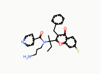 CCC(C)(c1oc2cc(F)ccc2c(=O)c1Cc1ccccc1)N(CCCN)C(=O)c1ccncc1